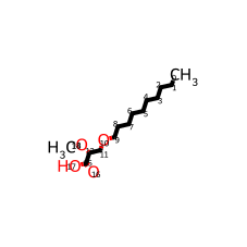 CCCCCCCCCCOCC(OC)C(=O)O